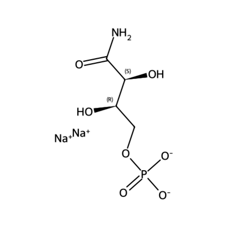 NC(=O)[C@@H](O)[C@H](O)COP(=O)([O-])[O-].[Na+].[Na+]